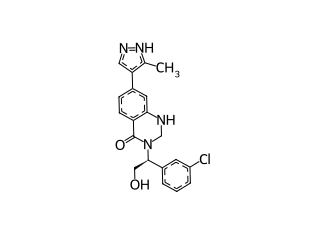 Cc1[nH]ncc1-c1ccc2c(c1)NCN([C@H](CO)c1cccc(Cl)c1)C2=O